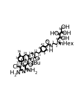 CCCCCCN(CCNC(=O)c1ccc(CCN(C[C@H](CNC(=O)c2nc(Cl)c(N)nc2N)Cc2ccccc2C)C(=O)OC(C)(C)C)cc1)C[C@H](O)[C@@H](O)[C@H](O)CO